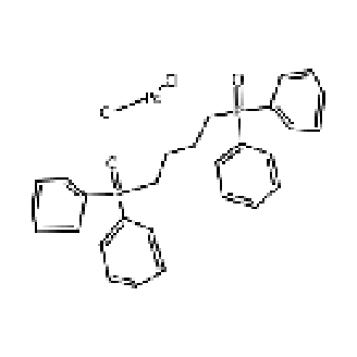 O=P(CCCCP(=O)(c1ccccc1)c1ccccc1)(c1ccccc1)c1ccccc1.[Cl][Pd][Cl]